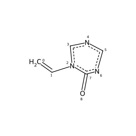 C=Cn1cncnc1=O